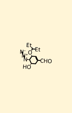 CCC(CC)O[C@@H]1C=C(C=O)C[C@H](O)[C@H]1N=[N+]=[N-]